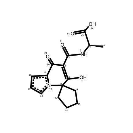 C[C@@H](NC(=O)C1=C(O)C2(CCCC2)n2cccc2C1=O)C(=O)O